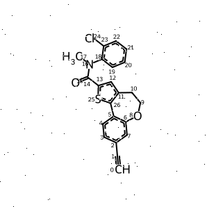 C#Cc1ccc2c(c1)OCCc1cc(C(=O)N(C)c3ccccc3Cl)sc1-2